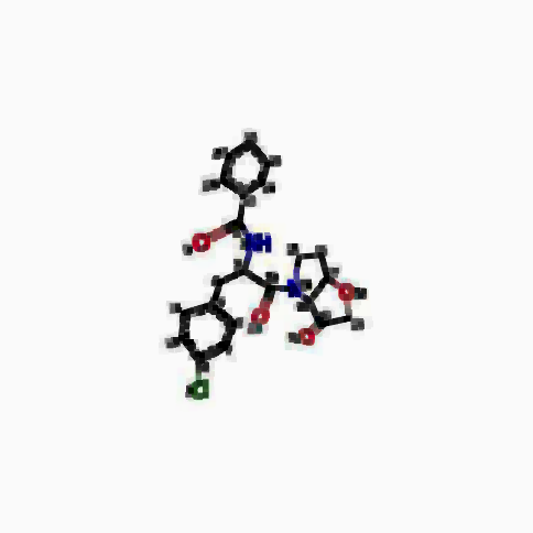 O=C(NC(Cc1ccc(Cl)cc1)C(=O)N1CCC2OCC(=O)C21)c1ccccc1